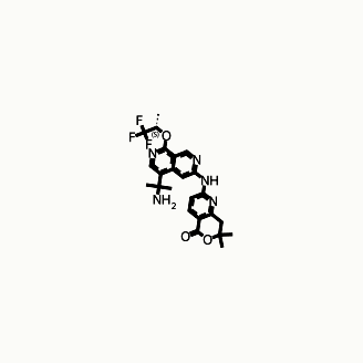 C[C@H](Oc1ncc(C(C)(C)N)c2cc(Nc3ccc4c(n3)CC(C)(C)OC4=O)ncc12)C(F)(F)F